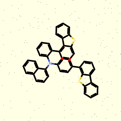 c1ccc(N(c2ccc(-c3cccc4c3sc3ccccc34)cc2)c2cccc3ccccc23)c(-c2cccc3sc4ccccc4c23)c1